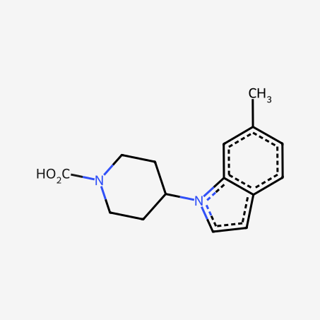 Cc1ccc2ccn(C3CCN(C(=O)O)CC3)c2c1